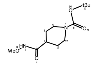 CONC(=O)C1CCN(C(=O)OC(C)(C)C)CC1